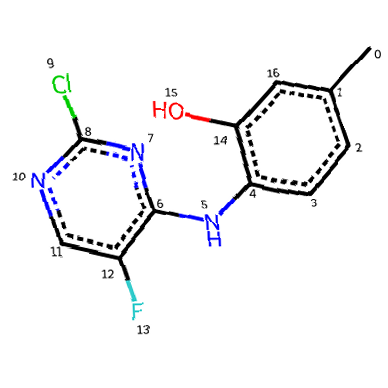 Cc1ccc(Nc2nc(Cl)ncc2F)c(O)c1